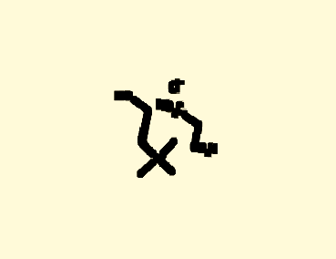 C[N+](C)(C)CCO.O=C(O)CC(=O)O.[Cl-]